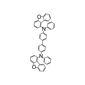 c1ccc(N(c2ccc(-c3ccc(N(c4ccccc4)c4cccc5oc6ccccc6c45)cc3)cc2)c2cccc3oc4ccccc4c23)cc1